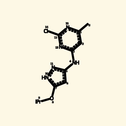 Cc1cc(Nc2cc(OC(C)C)[nH]n2)nc(Cl)n1